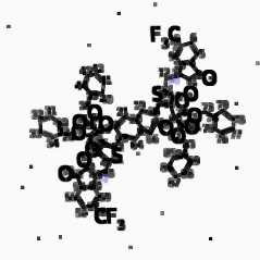 O=C1C(=O)c2ccc(C(F)(F)F)cc2/C1=C/c1cc2c(s1)C1=CC3C=C4OC(C(=O)OCc5ccccc5)(C(=O)OCc5ccccc5)c5cc(/C=C6\C(=O)C(=O)c7ccc(C(F)(F)F)cc76)sc5C4=CC3C=C1OC2(C(=O)OCc1ccccc1)C(=O)OCc1ccccc1